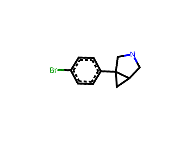 Brc1ccc(C23C[N]CC2C3)cc1